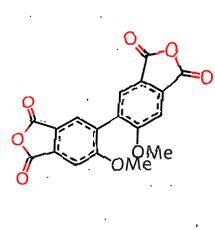 COc1cc2c(cc1-c1cc3c(cc1OC)C(=O)OC3=O)C(=O)OC2=O